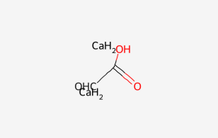 O=CC(=O)O.[CaH2].[CaH2]